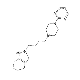 c1cnc(N2CCN(CCCCN3CC4=C(CCCC4)N3)CC2)nc1